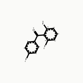 O=C(c1ccc(F)cc1)c1c(F)cccc1F